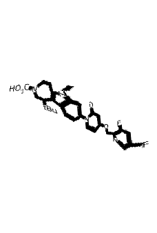 Cn1c2c(c3ccc(-n4ccc(OCc5ncc(F)cc5F)cc4=O)cc31)C(C(C)(C)C)CN(C(=O)O)CC2